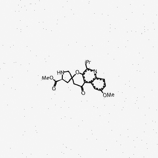 COC(=O)[C@@H]1CC2(CN1)CC(=O)c1c(c(C(C)C)nc3ccc(OC)cc13)O2